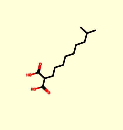 CC(C)CCCCCCCC(C(=O)O)C(=O)O